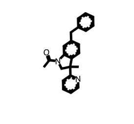 CC(=O)N1CC(C)(c2ccccn2)c2ccc(Cc3ccccc3)cc21